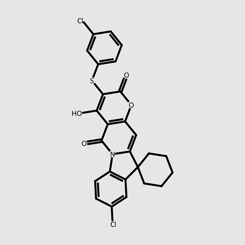 O=c1oc2cc3n(c(=O)c2c(O)c1Sc1cccc(Cl)c1)-c1ccc(Cl)cc1C31CCCCC1